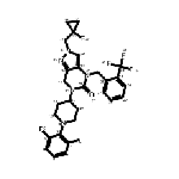 Cc1cccc(F)c1N1CCC(N2Cc3nn(CC4(F)CC4)cc3N(Cc3ccccc3C(F)(F)F)C2=O)CC1